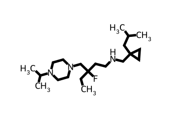 CCC(F)(CCNCC1(CC(C)C)CC1)CN1CCN(C(C)C)CC1